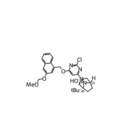 COCOc1cc(COc2cc(N3C[C@@H]4CC[C@@](C(C)(C)C)(C3)N4C(=O)O)nc(Cl)n2)c2ccccc2c1